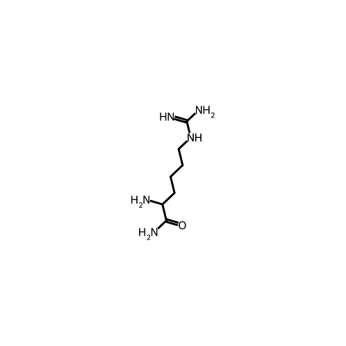 N=C(N)NCCCCC(N)C(N)=O